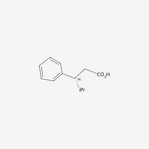 CC(C)[C@@H](CC(=O)O)c1ccccc1